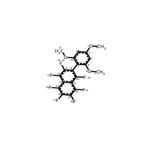 COc1cc(OC)c(-c2c(F)c(F)c3c(F)c(F)c(F)c(F)c3c2F)c(OC)c1